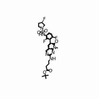 Cn1c(=O)c(-c2c(F)ccc(NS(=O)(=O)N3CC[C@@H](F)C3)c2F)cc2cnc(NCCCC(=O)OC(C)(C)C)nc21